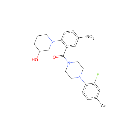 CC(=O)c1ccc(N2CCN(C(=O)c3cc([N+](=O)[O-])ccc3N3CCCC(O)C3)CC2)c(F)c1